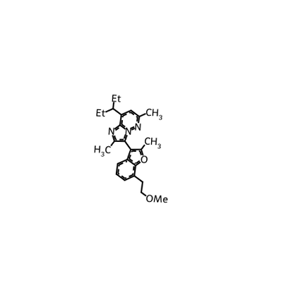 CCC(CC)c1cc(C)nn2c(-c3c(C)oc4c(CCOC)cccc34)c(C)nc12